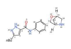 CCCCc1cc(C(=O)Nc2ccc([C@@H]3O[C@H]4CN[C@@H]3C4)cc2)[nH]n1